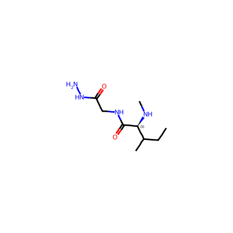 CCC(C)[C@H](NC)C(=O)NCC(=O)NN